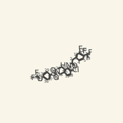 O=C(Cc1ccc(C(F)(F)F)c(F)c1)Nc1c(Cl)ccc2c1CCN(S(=O)(=O)c1ccc(OC(F)F)cc1)C2